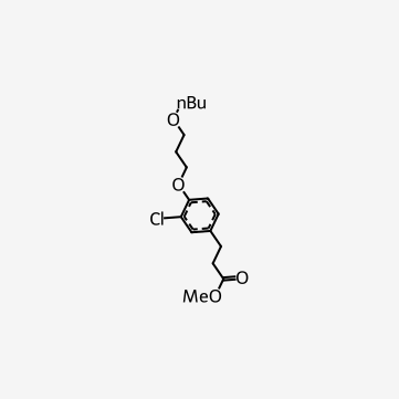 CCCCOCCCOc1ccc(CCC(=O)OC)cc1Cl